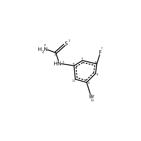 NC(=S)Nc1cc(F)cc(Br)c1